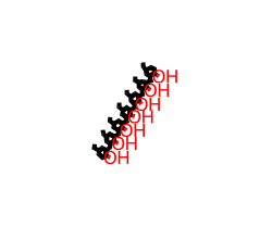 CCc1ccc(O)c(Cc2cc(CC)cc(Cc3cc(CC)cc(Cc4cc(CC)cc(Cc5cc(CC)cc(Cc6cc(CC)cc(Cc7cc(CC)ccc7O)c6O)c5O)c4O)c3O)c2O)c1